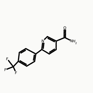 NC(=O)c1ccc(-c2ccc(C(F)(F)F)cc2)nc1